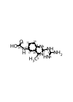 Cc1nc(NC(=N)N)nc2ccc(NC(=O)O)cc12